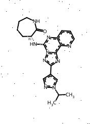 CC(C)n1cc(-c2nc3c4ncccc4nc(N[C@@H]4CCCCNC4=O)n3n2)cn1